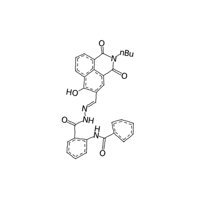 CCCCN1C(=O)c2cccc3c(O)c(/C=N/NC(=O)c4ccccc4NC(=O)c4ccccc4)cc(c23)C1=O